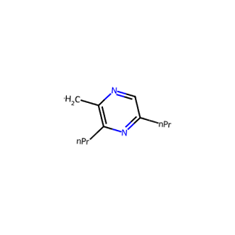 [CH2]c1ncc(CCC)nc1CCC